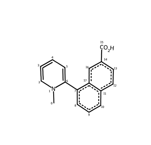 CN1C=C=CC=C1c1cccc2ccc(C(=O)O)cc12